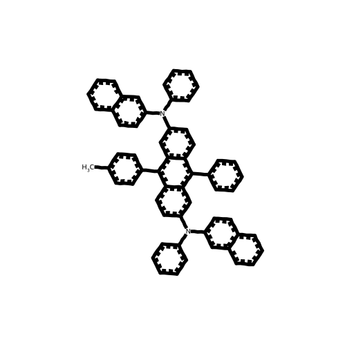 Cc1ccc(-c2c3ccc(N(c4ccccc4)c4ccc5ccccc5c4)cc3c(-c3ccccc3)c3ccc(N(c4ccccc4)c4ccc5ccccc5c4)cc23)cc1